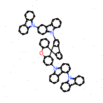 c1ccc2c(c1)Oc1ccc(-n3c4ccccc4c4c(-n5c6ccccc6c6ccccc65)cccc43)cc1C21c2ccccc2-c2ccc(-n3c4ccccc4c4cc(-n5c6ccccc6c6ccccc65)ccc43)cc21